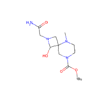 CN1CCN(C(=O)OC(C)(C)C)CC12CN(CC(N)=O)C2O